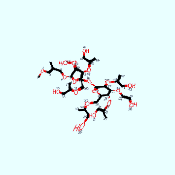 COCC(C)CO[C@H]1O[C@@](COC(C)CO)(O[C@@H]2OC(COC(C)CO)[C@@H](OC(C)CO)[C@@H](OCCO)C2OC(C)CO)[C@H](OC(C)CO)C1OO